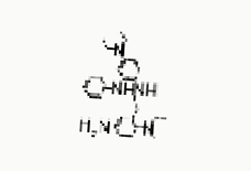 CCN(CC)c1ccc(NCCc2cc(N)ccc2N(CC)CC)c(Nc2ccccc2)c1